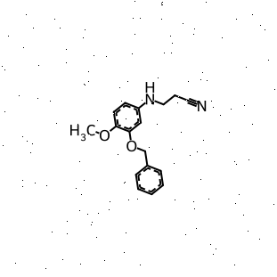 COc1ccc(NCCC#N)cc1OCc1ccccc1